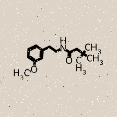 COc1cccc(CCNC(=O)CC(C)(C)C)c1